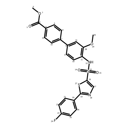 COC(=O)c1ccc(-c2ccc(NS(=O)(=O)c3cnc(-c4ccc(F)cc4)s3)c(OC)c2)cc1